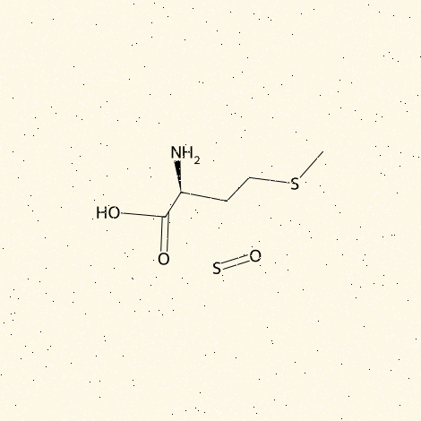 CSCC[C@H](N)C(=O)O.O=S